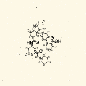 CCCc1nc2c(C)cc(C(=O)N[C@@H](CSC(=O)CN3CCCCC3)CC(C)C)cc2n1Cc1ccc(-c2ccccc2C(=O)O)cc1